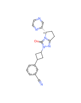 N#Cc1cccc(C2CC(n3nc4n(c3=O)[C@H](c3cnccn3)CC4)C2)c1